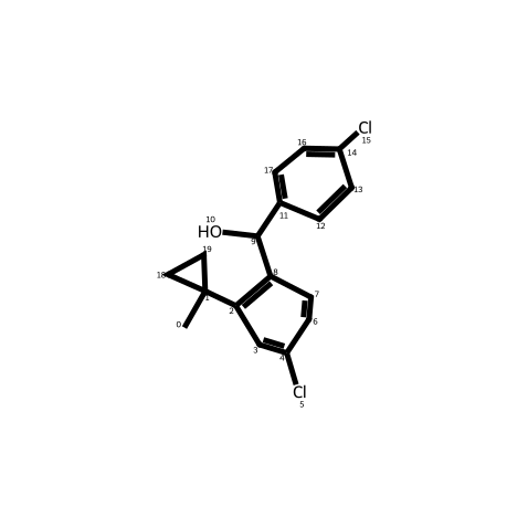 CC1(c2cc(Cl)ccc2C(O)c2ccc(Cl)cc2)CC1